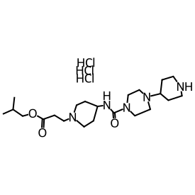 CC(C)COC(=O)CCN1CCC(NC(=O)N2CCN(C3CCNCC3)CC2)CC1.Cl.Cl.Cl